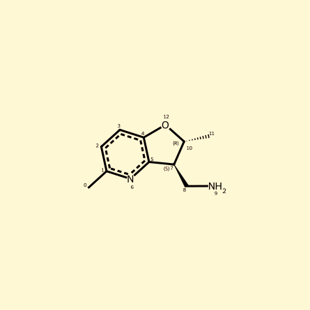 Cc1ccc2c(n1)[C@H](CN)[C@@H](C)O2